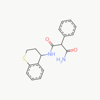 NC(=O)C(C(=O)NC1CCSc2ccccc21)c1ccccc1